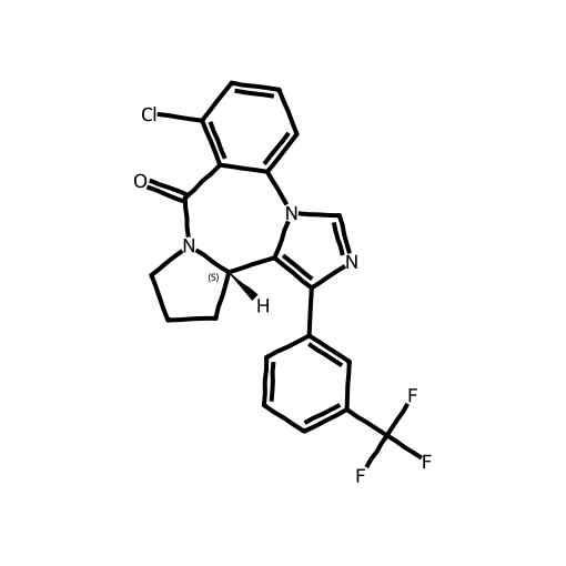 O=C1c2c(Cl)cccc2-n2cnc(-c3cccc(C(F)(F)F)c3)c2[C@@H]2CCCN12